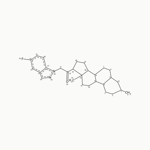 CC1CCC2C(CCC3C2CCC2(C)C(C(=O)Cn4ncc5cc(F)ccc54)CCC32)C1